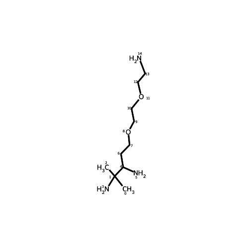 CC(C)(N)C(N)CCOCCOCCN